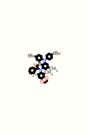 Cc1cc2c3c(c1)N(c1c(C)cc4c(c1C)OCCO4)c1c(sc4ccccc14)B3c1cc(C(C)(C)C)ccc1N2c1ccc(C(C)(C)C)cc1